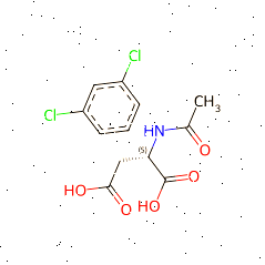 CC(=O)N[C@@H](CC(=O)O)C(=O)O.Clc1cccc(Cl)c1